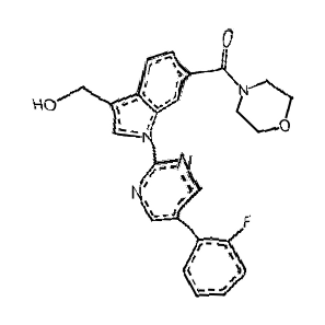 O=C(c1ccc2c(CO)cn(-c3ncc(-c4ccccc4F)cn3)c2c1)N1CCOCC1